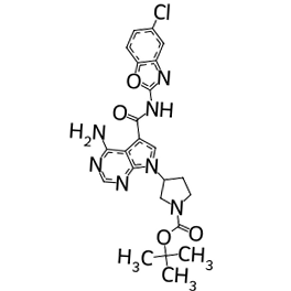 CC(C)(C)OC(=O)N1CCC(n2cc(C(=O)Nc3nc4cc(Cl)ccc4o3)c3c(N)ncnc32)C1